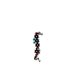 C=CCCOc1ccc(COc2ccc(-c3ccc(-c4ccc(OCCCC)cc4)c(F)c3F)cc2)c(F)c1F